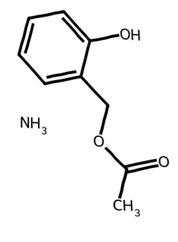 CC(=O)OCc1ccccc1O.N